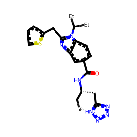 CCC(CC)n1c(Cc2cccs2)nc2cc(C(=O)N[C@H](Cc3nnn[nH]3)CC(C)C)ccc21